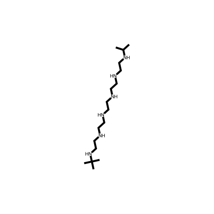 CC(C)NCCNCCNCCNCCNCCNC(C)(C)C